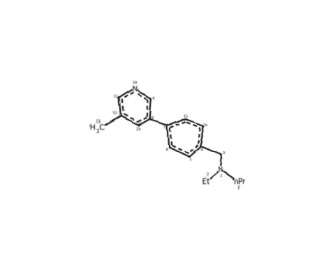 CCCN(CC)Cc1ccc(-c2cncc(C)c2)cc1